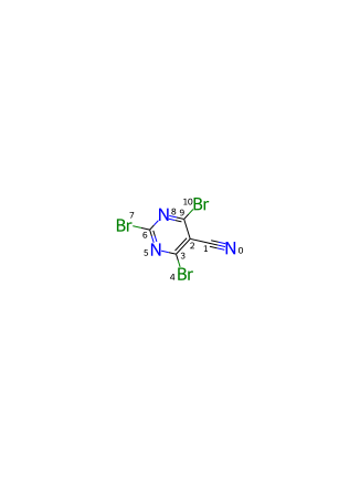 N#Cc1c(Br)nc(Br)nc1Br